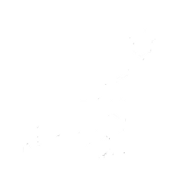 C[C@@H](CC#CCc1ccccc1)[C@H](O)C=CC1CCC(=O)N1CCCCCCC(=O)O